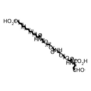 O=[C]CC[C@H](NC(=O)COCCOCCNC(=O)COCCOCCNC(=O)CCCCCCCCCCCCC(=O)O)C(=O)O